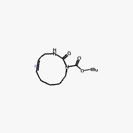 CC(C)(C)OC(=O)N1CCCC/C=C\CNC1=O